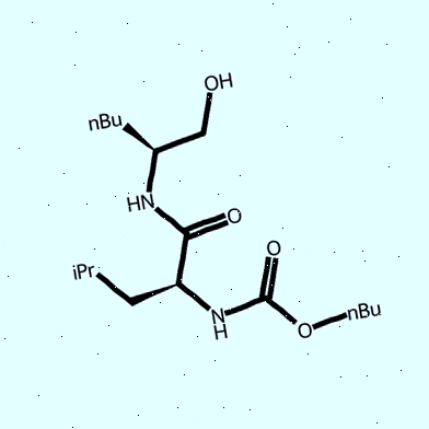 CCCCOC(=O)N[C@@H](CC(C)C)C(=O)N[C@H](CO)CCCC